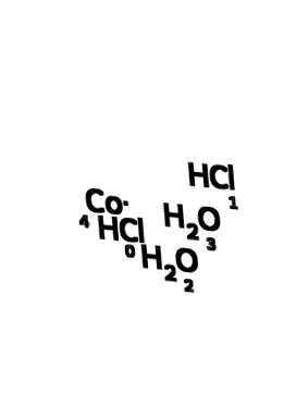 Cl.Cl.O.O.[Co]